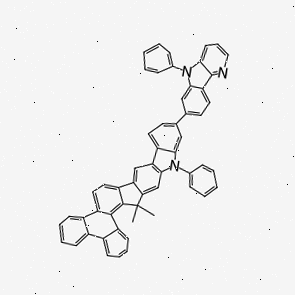 CC1(C)c2cc3c(cc2-c2ccc4c5ccccc5c5ccccc5c4c21)c1ccc(-c2ccc4c5ncccc5n(-c5ccccc5)c4c2)cc1n3-c1ccccc1